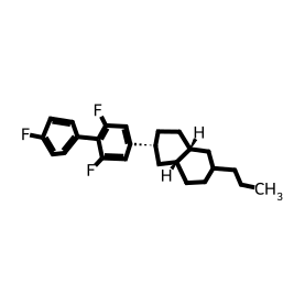 CCCC1CC[C@@H]2C[C@H](c3cc(F)c(-c4ccc(F)cc4)c(F)c3)CC[C@@H]2C1